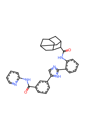 O=C(Nc1ccccn1)c1cccc(-c2cnc(-c3ccccc3NC(=O)C3C4CC5CC(C4)CC3C5)[nH]2)c1